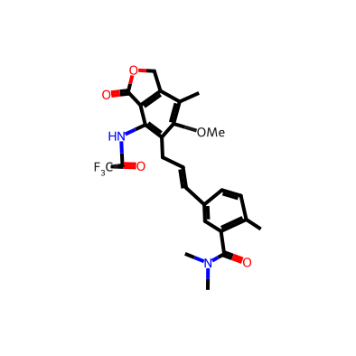 COc1c(C)c2c(c(NC(=O)C(F)(F)F)c1CC=Cc1ccc(C)c(C(=O)N(C)C)c1)C(=O)OC2